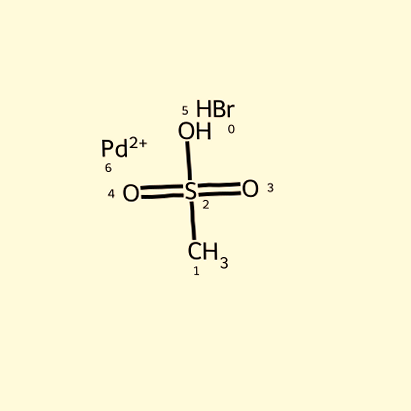 Br.CS(=O)(=O)O.[Pd+2]